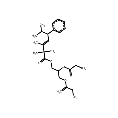 BCC(=O)OC(COC(=C)CC)COC(=O)C(C)(C)/C(C)=C/C(c1ccccc1)C(C)C